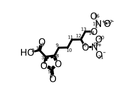 O=C(O)c1oc(=O)oc1CCCC(CO[N+](=O)[O-])O[N+](=O)[O-]